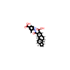 Cc1cc(C(=O)O)ccc1NC(=O)C1C[C@@]2(C)C(=CC[C@H]3[C@@H]4CCC[C@@]4(C)CC[C@@H]32)C=C1C(=O)O